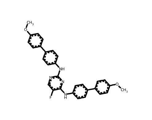 COc1ccc(-c2ccc(Nc3ncc(F)c(Nc4ccc(-c5ccc(OC)cc5)cc4)n3)cc2)cc1